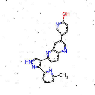 Cc1cccc(-c2n[nH]cc2-c2ccc3ncc(-c4ccc(O)nc4)cc3n2)n1